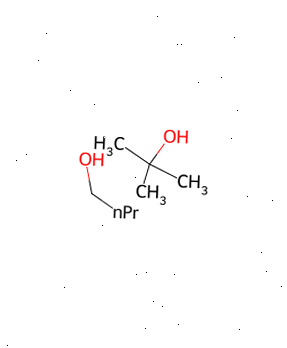 CC(C)(C)O.CCCCO